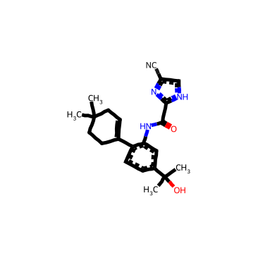 CC1(C)CC=C(c2ccc(C(C)(C)O)cc2NC(=O)c2nc(C#N)c[nH]2)CC1